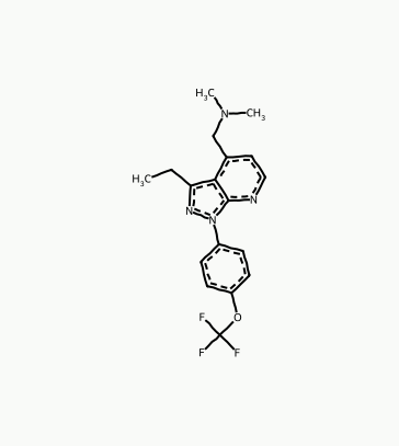 CCc1nn(-c2ccc(OC(F)(F)F)cc2)c2nccc(CN(C)C)c12